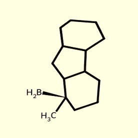 B[C@]1(C)CCCC2C3CCCCC3CC21